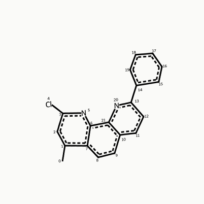 Cc1cc(Cl)nc2c1ccc1ccc(-c3ccccc3)nc12